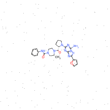 C[C@@H]1CN(C(=O)Nc2ccccc2)CCN1C(=O)[C@@H]1CCCN1c1nc(N)n2nc(-c3ccco3)nc2n1